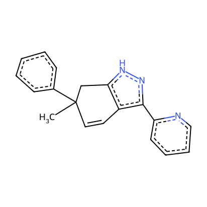 CC1(c2ccccc2)C=Cc2c(-c3ccccn3)n[nH]c2C1